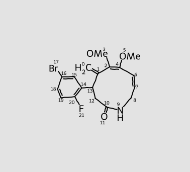 C=C1/C(OC)=C(OC)\C=C/CNC(=O)CC1c1cc(Br)ccc1F